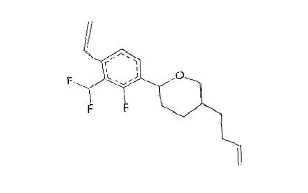 C=CCCC1CCC(c2ccc(C=C)c(C(F)F)c2F)OC1